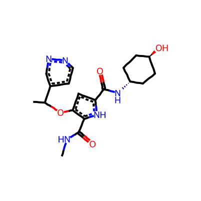 CNC(=O)c1[nH]c(C(=O)N[C@H]2CC[C@H](O)CC2)cc1OC(C)c1ccnnc1